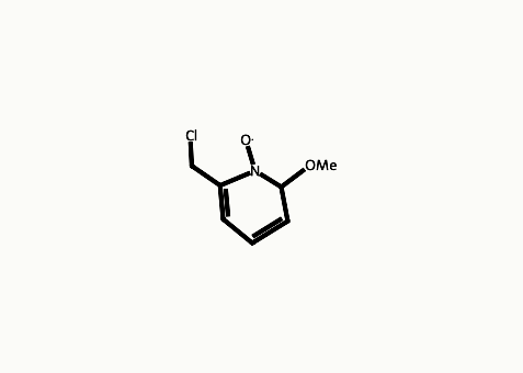 COC1C=CC=C(CCl)N1[O]